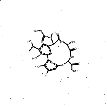 CCCC(I)c1cc2cc(c1O)-c1cc(cc(C)c1O)CC(C(=O)OC)NC(=O)[C@H](N)NC(=O)C2N(C)C(=O)OC(C)(C)C